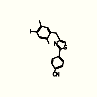 Cc1cc(Cc2csc(-c3ccc(C#N)cc3)n2)c(C)cc1I